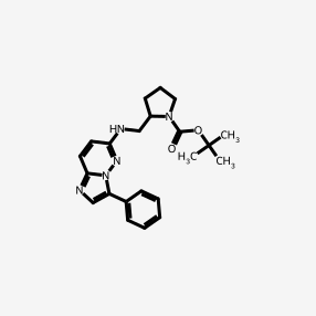 CC(C)(C)OC(=O)N1CCCC1CNc1ccc2ncc(-c3ccccc3)n2n1